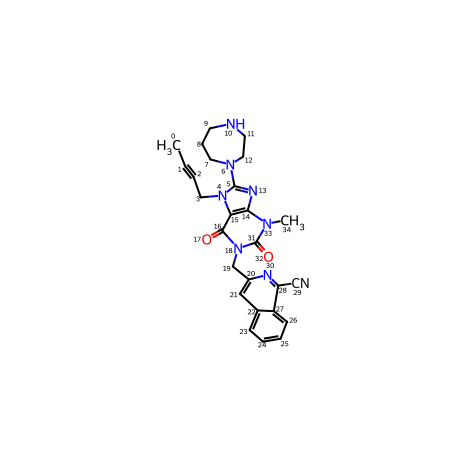 CC#CCn1c(N2CCCNCC2)nc2c1c(=O)n(Cc1cc3ccccc3c(C#N)n1)c(=O)n2C